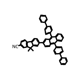 CC1(C)c2cc(C#N)ccc2-c2ccc(-c3ccc4c(-c5ccc(-c6ccccc6)cc5)c5ccccc5c(-c5ccc(-c6ccccc6)cc5)c4c3)cc21